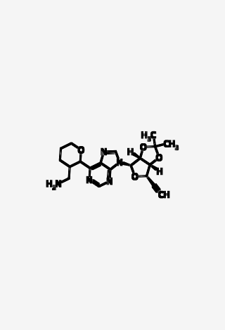 C#C[C@H]1O[C@@H](n2cnc3c(C4OCCCC4CN)ncnc32)[C@@H]2OC(C)(C)O[C@@H]21